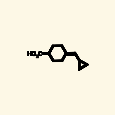 O=C(O)C1CCC(=CC2CC2)CC1